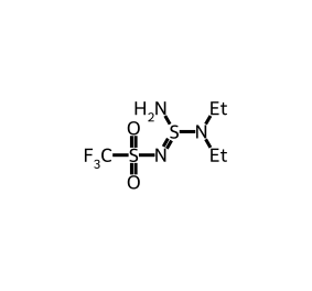 CCN(CC)S(N)=NS(=O)(=O)C(F)(F)F